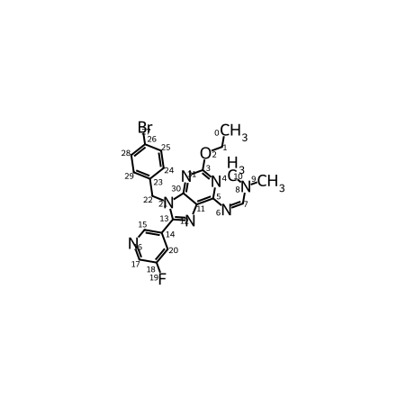 CCOc1nc(/N=C\N(C)C)c2nc(-c3cncc(F)c3)n(Cc3ccc(Br)cc3)c2n1